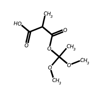 COC(C)(OC)OC(=O)C(C)C(=O)O